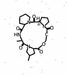 CC1CC2C(=O)OCCC(=O)N3CCC[C@H]3C(=O)N3CCCCC3C(=O)NC(C)C(=O)N2C1